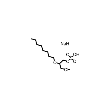 CCCCCCCCOC(CO)COS(=O)(=O)O.[NaH]